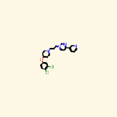 Clc1ccc(OC2CCN(CCCN3C=CC(c4cccnc4)=NC3)CC2)cc1Cl